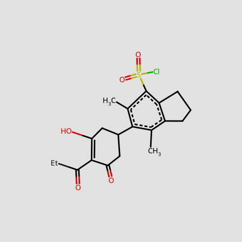 CCC(=O)C1=C(O)CC(c2c(C)c3c(c(S(=O)(=O)Cl)c2C)CCC3)CC1=O